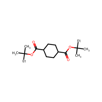 CCC(C)(C)OC(=O)C1CCC(C(=O)OC(C)(C)CC)CC1